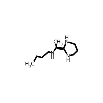 CCCCNC(C)=C1NCCCN1